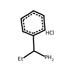 CCC(P)c1ccccc1.Cl